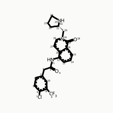 O=C(Cc1ccc(Cl)c(C(F)(F)F)c1)Nc1cccc2c(=O)n(C[C@@H]3CCCN3)ccc12